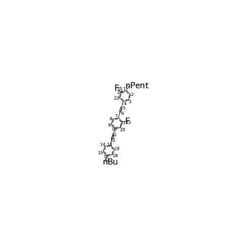 CCCCCc1ccc(C#Cc2ccc(C#Cc3ccc(CCCC)cc3)cc2F)cc1F